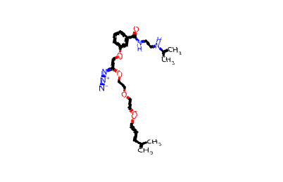 CC(C)CCCOCCOCCOC(COc1cccc(C(=O)NCCNC(C)C)c1)N=[N+]=[N-]